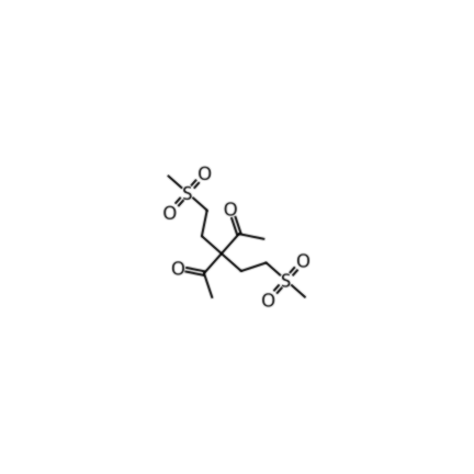 CC(=O)C(CCS(C)(=O)=O)(CCS(C)(=O)=O)C(C)=O